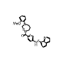 COc1ccccc1N1CCCN(C(=O)c2ccc(NSc3cccc4cccnc34)cn2)CC1